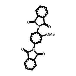 COc1cc(N2C(=O)c3ccccc3C2=O)ccc1N1C(=O)c2ccccc2C1=O